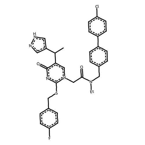 CCN(Cc1ccc(-c2ccc(Cl)cc2)cc1)C(=O)Cn1cc(C(C)c2cn[nH]c2)c(=O)nc1SCc1ccc(F)cc1